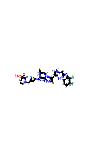 CCN(Cc1cc(Nc2nc(C)cn3c(-c4cnn(Cc5nc6c(F)c(F)ccc6[nH]5)c4)cnc23)sn1)CC(C)(C)O